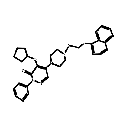 O=c1c(OC2CCCC2)c(N2CCN(SCSc3cccc4ccccc34)CC2)cnn1-c1ccccc1